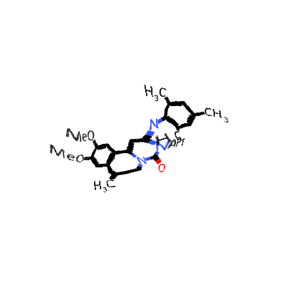 CCCn1c(=O)n2c(c/c1=N/c1c(C)cc(C)cc1C)-c1cc(OC)c(OC)cc1C(C)C2